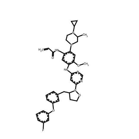 C=CC(=O)Nc1cc(Nc2cc(N3OCCC3Cc3cccc(Oc4cccc(F)c4)c3)ncn2)c(OC)cc1N1CCN(C2CC2)C(C)C1